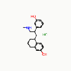 CNCC(CC1CCCc2cc(O)ccc21)c1cccc(O)c1.Cl